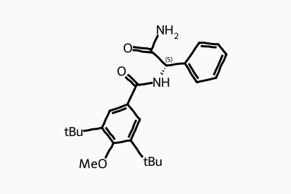 COc1c(C(C)(C)C)cc(C(=O)N[C@H](C(N)=O)c2ccccc2)cc1C(C)(C)C